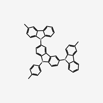 Cc1ccc(-n2c3ccc(-n4c5ccccc5c5cc(C)ccc54)cc3c3cc(-n4c5ccccc5c5cc(C)ccc54)ccc32)cc1